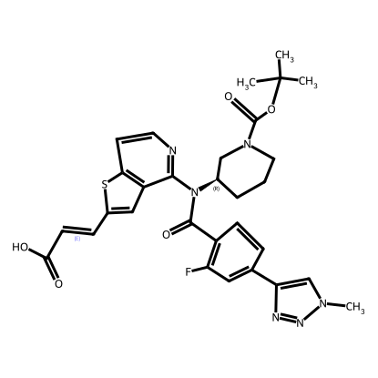 Cn1cc(-c2ccc(C(=O)N(c3nccc4sc(/C=C/C(=O)O)cc34)[C@@H]3CCCN(C(=O)OC(C)(C)C)C3)c(F)c2)nn1